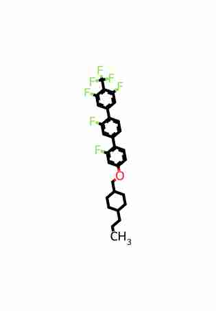 CCCC1CCC(COc2ccc(-c3ccc(-c4cc(F)c(C(F)(F)F)c(F)c4)c(F)c3)c(F)c2)CC1